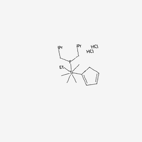 C[CH2][Ti]([CH3])([CH3])([CH3])([CH3])([C]1=CC=CC1)[P](CC(C)C)CC(C)C.Cl.Cl